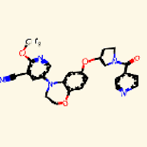 COc1ncc(N2CCOc3ccc(OC4CCN(C(=O)c5ccncc5)C4)cc32)cc1C#N